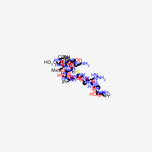 CC[C@H](C)[C@H](NC(=O)[C@@H](NC(=O)[C@H](CCCCN)NC(=O)[C@H](CS)NC(=O)[C@@H](NC(=O)[C@H](CO)NC(=O)[C@H](CC(C)C)NC(=O)CNC(=O)[C@H](C)NC(=O)[C@H](C)NC(=O)[C@@H]1CCCN1C(=O)[C@H](CCCNC(=N)N)NC(=O)CNC(=O)[C@@H]1CCCN1C(=O)[C@@H](NC(=O)[C@@H](N)CC(C)C)[C@@H](C)O)[C@@H](C)O)[C@@H](C)O)C(=O)N[C@@H](CC(=O)O)C(=O)N[C@@H](CCSC)C(=O)N[C@@H](CCC(=O)O)C(=O)N[C@@H](CC(C)C)C(=O)O